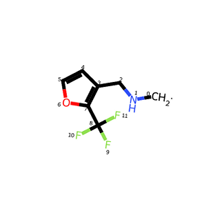 [CH2]NCc1ccoc1C(F)(F)F